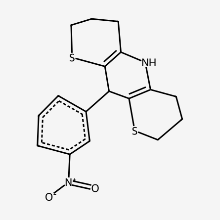 O=[N+]([O-])c1cccc(C2C3=C(CCCS3)NC3=C2SCCC3)c1